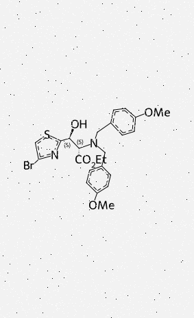 CCOC(=O)[C@H]([C@H](O)c1nc(Br)cs1)N(Cc1ccc(OC)cc1)Cc1ccc(OC)cc1